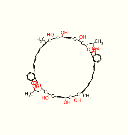 C\C1=C/C=C/C=C/C=C/c2cccc(O)c2C(=O)O[C@@H](C[C@@H](C)O)C[C@@H](O)C/C=C/[C@@H](O)C[C@@H](O)C/C(C)=C/C=C/C=C/C=C\c2cccc(O)c2C(=O)O[C@@H](C[C@@H](C)O)CC(O)C/C=C/C(O)C[C@@H](O)C1